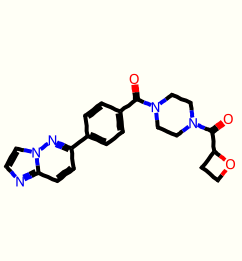 O=C(c1ccc(-c2ccc3nccn3n2)cc1)N1CCN(C(=O)C2CCO2)CC1